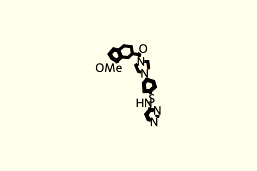 COc1cccc2c1CC(C(=O)N1CCN(c3ccc(SNc4ccncn4)cc3)CC1)CC2